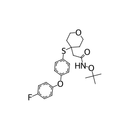 CC(C)(C)ONC(=O)CC1(Sc2ccc(Oc3ccc(F)cc3)cc2)CCOCC1